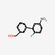 O=[N+]([O-])c1ccc(F)c(-c2cccc(CO)c2)c1